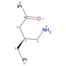 CC(C)C[C@H](CN)CC(=O)C(C)C